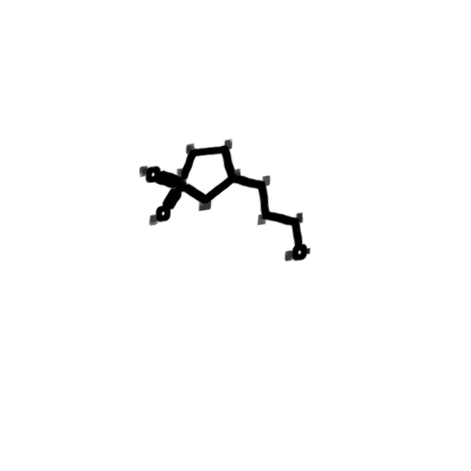 [O]CCCC1CCS(=O)(=O)C1